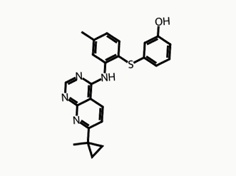 Cc1ccc(Sc2cccc(O)c2)c(Nc2ncnc3nc(C4(C)CC4)ccc23)c1